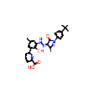 CC1=NN(c2ccc(C(C)(C)C)cc2)C(=O)C1=NNc1cc(C)cc(-c2cccc(C(=O)O)n2)c1O